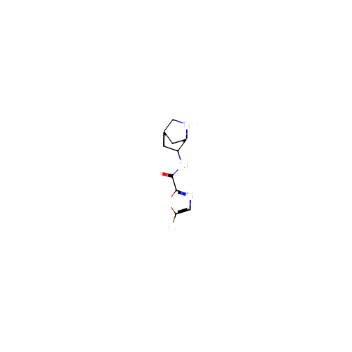 O=C(NC1CC2CNC1C2)c1ncc(Br)o1